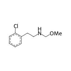 COCNCCc1ccccc1Cl